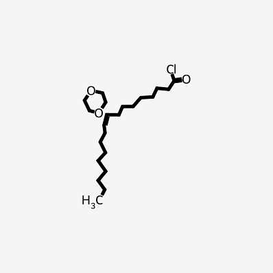 C1COCCO1.CCCCCCCC/C=C\CCCCCCCC(=O)Cl